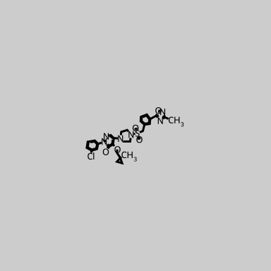 Cc1noc(-c2cccc(CS(=O)(=O)N3CCN(c4cnn(-c5cccc(Cl)c5)c(=O)c4OCC4(C)CC4)CC3)c2)n1